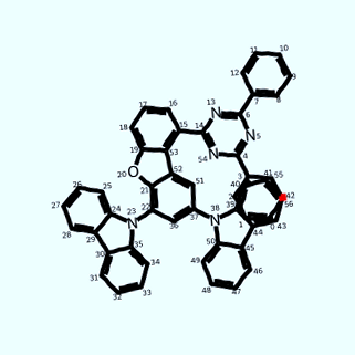 c1ccc(-c2nc(-c3ccccc3)nc(-c3cccc4oc5c(-n6c7ccccc7c7ccccc76)cc(-n6c7ccccc7c7ccccc76)cc5c34)n2)cc1